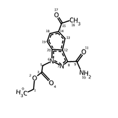 CCOC(=O)Cn1nc(C(N)=O)c2cc(C(C)=O)ccc21